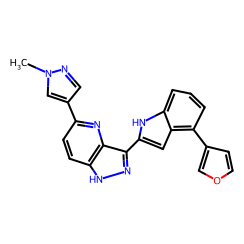 Cn1cc(-c2ccc3[nH]nc(-c4cc5c(-c6ccoc6)cccc5[nH]4)c3n2)cn1